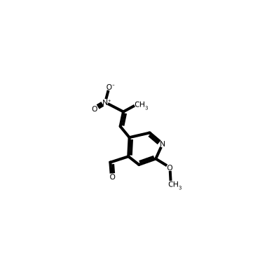 COc1cc(C=O)c(/C=C(\C)[N+](=O)[O-])cn1